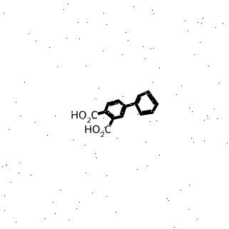 O=C(O)c1ccc(-c2[c]cccc2)cc1C(=O)O